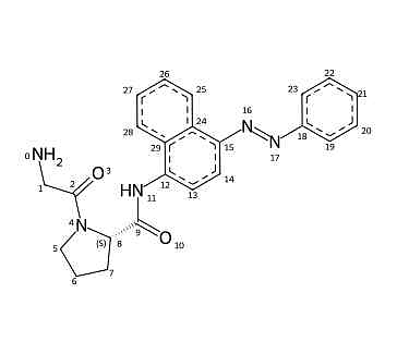 NCC(=O)N1CCC[C@H]1C(=O)Nc1ccc(N=Nc2ccccc2)c2ccccc12